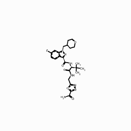 CC(C)(C)[C@H](NC(=O)c1nn(CC2CCOCC2)c2cc(F)ccc12)C(=O)NCc1nnc(C(N)=O)o1